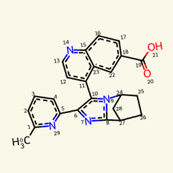 Cc1cccc(-c2nc3n(c2-c2ccnc4ccc(C(=O)O)cc24)C2CCC3C2)n1